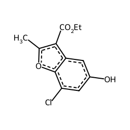 CCOC(=O)c1c(C)oc2c(Cl)cc(O)cc12